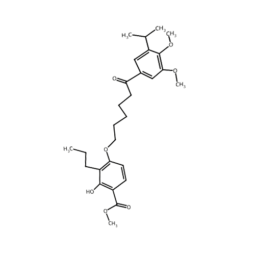 CCCc1c(OCCCCCC(=O)c2cc(OC)c(OC)c(C(C)C)c2)ccc(C(=O)OC)c1O